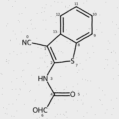 N#Cc1c(NC(=O)C=O)sc2ccccc12